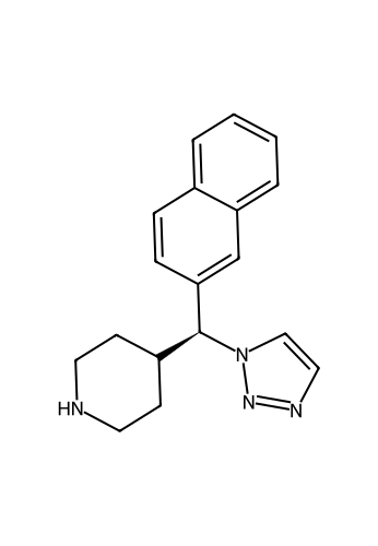 c1ccc2cc([C@H](C3CCNCC3)n3ccnn3)ccc2c1